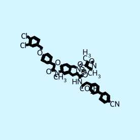 Cc1noc(C)c1S(=O)(=O)N1Cc2cc3c(cc2CC1C(=O)N[C@@H](Cc1ccc(-c2ccc(C#N)cc2)cc1)C(=O)O)N(C)C(=O)C(c1ccc(OCc2ccc(Cl)c(Cl)c2)cc1)O3